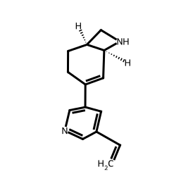 C=Cc1cncc(C2=C[C@@H]3NC[C@@H]3CC2)c1